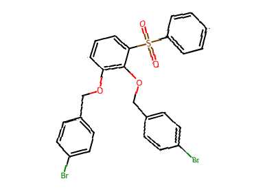 O=S(=O)(c1cc[c]cc1)c1cc[c]c(OCc2ccc(Br)cc2)c1OCc1ccc(Br)cc1